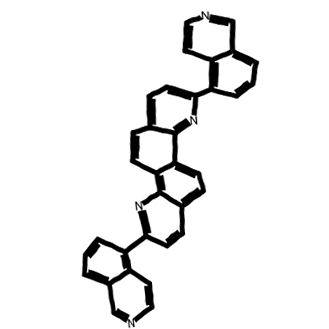 c1cc(-c2ccc3ccc4c(ccc5ccc(-c6cccc7cnccc67)nc54)c3n2)c2ccncc2c1